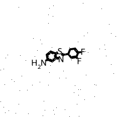 Nc1ccc2sc(C3C=C(F)C(F)=CC3)nc2c1